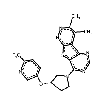 Cc1nnc2sc3c(N4CC[C@H](Oc5ccc(C(F)(F)F)nc5)C4)ncnc3c2c1C